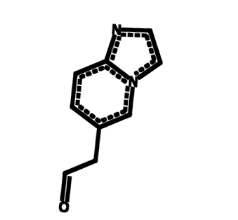 O=CCc1ccc2nccn2c1